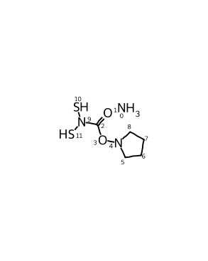 N.O=C(ON1CCCC1)N(S)S